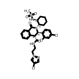 CS(=O)(=O)N[C@H]1CCCC[C@@H]1N1C(=O)c2ccccc2[C@@H](C(=O)NCCn2cc(Cl)cn2)[C@@H]1c1ccc(Cl)cc1Cl